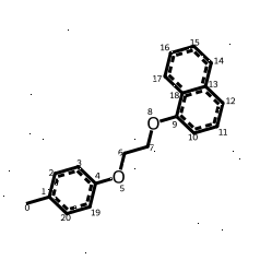 Cc1ccc(OCCOc2cccc3ccccc23)cc1